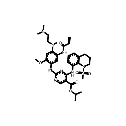 C=CC(=O)Nc1cc(Nc2ncc(C(=O)OC(C)C)c(Nc3cccc4c3N(S(C)(=O)=O)CCC4)n2)c(OC)cc1N(C)CCN(C)C